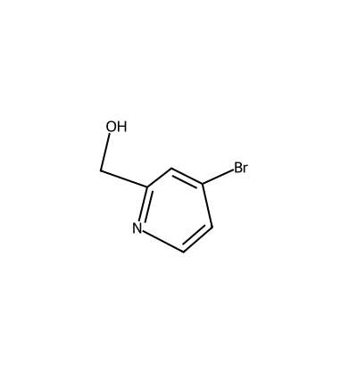 OCc1cc(Br)ccn1